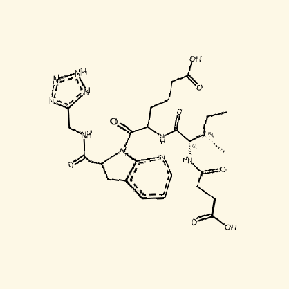 CC[C@H](C)[C@H](NC(=O)CCC(=O)O)C(=O)NC(CCCC(=O)O)C(=O)N1c2ncccc2CC1C(=O)NCc1nn[nH]n1